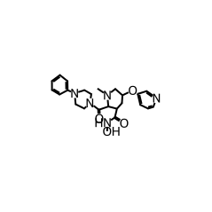 CN1CC(Oc2cccnc2)CC(C(=O)NO)C1C(=O)N1CCN(c2ccccc2)CC1